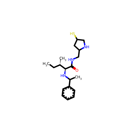 CC[C@H](C)[C@H](NC(C)c1ccccc1)C(=O)NCC1CC(S)CN1